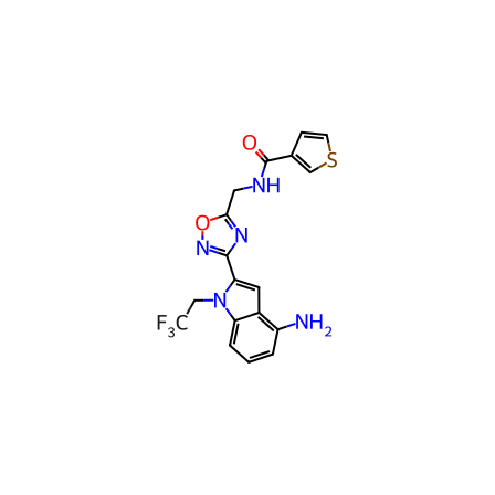 Nc1cccc2c1cc(-c1noc(CNC(=O)c3ccsc3)n1)n2CC(F)(F)F